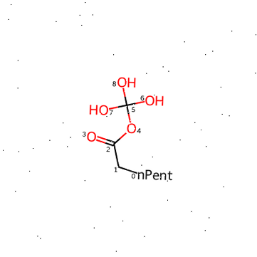 CCCCCCC(=O)OC(O)(O)O